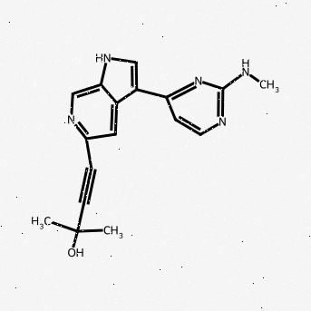 CNc1nccc(-c2c[nH]c3cnc(C#CC(C)(C)O)cc23)n1